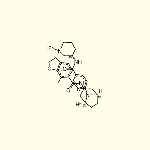 Cc1c(C(=O)N[C@H]2C[C@H]3CC[C@@H](C2)N3c2ccc(C(=O)N[C@@H]3CCCN(C(C)C)C3)cn2)ccc2c1OCC2